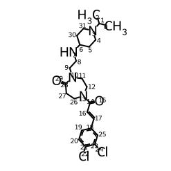 CC(C)N1CCC(NCCN2CCN(C(=O)C=Cc3ccc(Cl)c(Cl)c3)CCC2=O)CC1